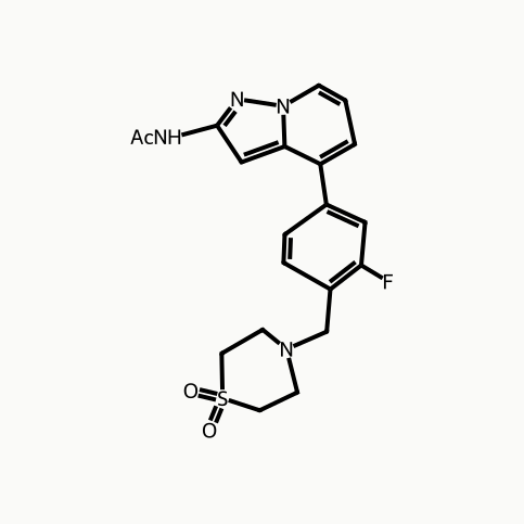 CC(=O)Nc1cc2c(-c3ccc(CN4CCS(=O)(=O)CC4)c(F)c3)cccn2n1